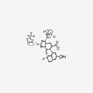 O=[N+]([O-])c1cc2c(N3C[C@H]4CC[C@@H](C3)N4)nc(OC[C@]34CCCN3C[C@]3(CC3(F)F)C4)nc2c(F)c1-c1cc(O)cc2ccc(F)c(F)c12